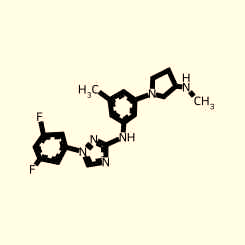 CNC1CCN(c2cc(C)cc(Nc3ncn(-c4cc(F)cc(F)c4)n3)c2)C1